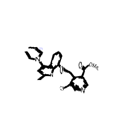 C=CN(/C=C\C)c1cc(C)nc2c(OCc3c(Cl)cncc3C(=O)OC)cccc12